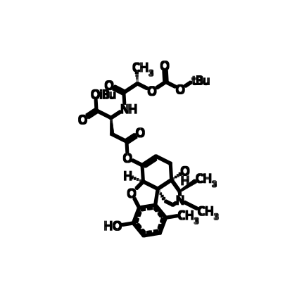 Cc1ccc(O)c2c1[C@]13CCN(C)[C@H](C)[C@]1(O)CC=C(OC(=O)C[C@H](NC(=O)[C@H](C)OC(=O)OC(C)(C)C)C(=O)OCC(C)C)[C@@H]3O2